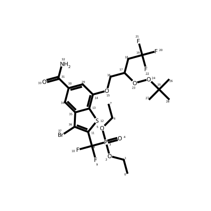 CCOP(=O)(OCC)C(F)(F)c1sc2c(OCC(CC(F)(F)F)OOC(C)(C)C)cc(C(N)=O)cc2c1Br